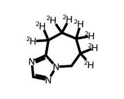 [2H]C1([2H])Cn2ncnc2C([2H])([2H])C([2H])([2H])C1([2H])[2H]